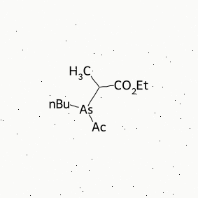 CCCC[As](C(C)=O)C(C)C(=O)OCC